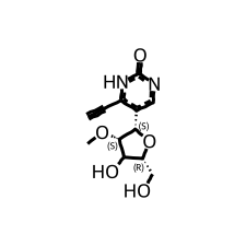 C#Cc1[nH]c(=O)ncc1[C@@H]1O[C@H](CO)C(O)[C@@H]1OC